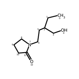 CCC(CO)CCN1CCCC1=O